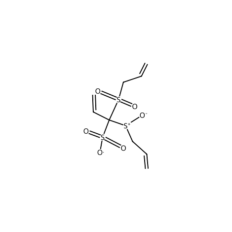 C=CC[S+]([O-])C(C=C)(S([O])(=O)=O)S(=O)(=O)CC=C